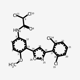 COc1ccc(NC(=O)C(Cl)Cl)cc1-c1cc(-c2c(Cl)cccc2Cl)no1